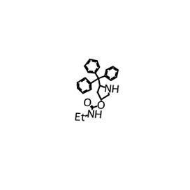 CCNC(=O)OC1CNC(C(c2ccccc2)(c2ccccc2)c2ccccc2)C1